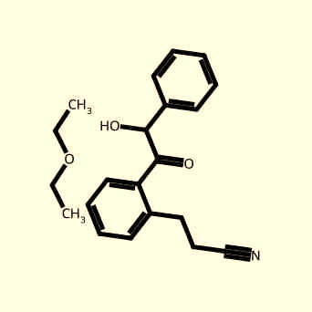 CCOCC.N#CCCc1ccccc1C(=O)C(O)c1ccccc1